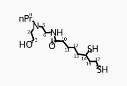 CCCN(CCO)CCNC(=O)CCCCC(S)CCS